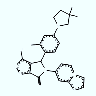 Cc1[nH]nc2c1C(c1ccc(N3CCC(F)(F)C3)cc1F)N(c1ccn3ccnc3c1)C2=O